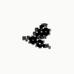 CC(C)Cn1c(=O)c(C(=O)Nc2cc(P)ccc2N2CCN(C)CC2)c(O)c2ccccc21